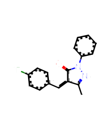 CC1=NN(c2ccccc2)C(=O)C1=Cc1ccc(F)cc1